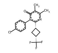 Cc1nc([C@H]2C[C@@H](C(F)(F)F)C2)n(-c2ccc(Cl)cc2)c(=O)c1C